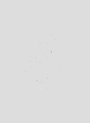 C=CC(=O)N(C)c1ccc(Nc2c(C)cccc2C)c(-c2cn(C)c(=O)c3oc(C(=O)NCC)cc23)c1